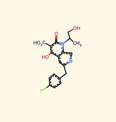 CC(CO)n1c(=O)c(C(=O)O)c(O)c2cc(Cc3ccc(F)cc3)ncc21